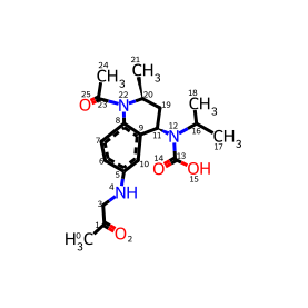 CC(=O)CNc1ccc2c(c1)[C@H](N(C(=O)O)C(C)C)C[C@H](C)N2C(C)=O